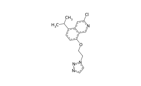 CC(C)c1ccc(OCCn2ccnn2)c2cnc(Cl)cc12